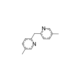 Cc1ccc(Cc2ccc(C)cn2)nc1